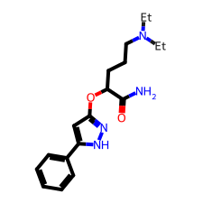 CCN(CC)CCCC(Oc1cc(-c2ccccc2)[nH]n1)C(N)=O